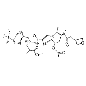 COC(=O)C(C)C[C@H](Cc1ncc(C(F)(F)F)cn1)NC(=O)c1csc(C(CC(C(C)C)N(C)C(=O)CC2COC2)OC(C)=O)n1